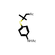 CC(=O)CC(C)(C)Sc1ccc(NC(C)=O)cc1